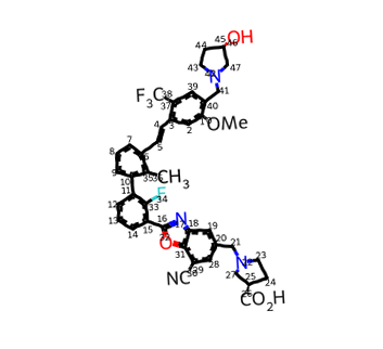 COc1cc(/C=C/c2cccc(-c3cccc(-c4nc5cc(CN6CC[C@@H](C(=O)O)C6)cc(C#N)c5o4)c3F)c2C)c(C(F)(F)F)cc1CN1CC[C@@H](O)C1